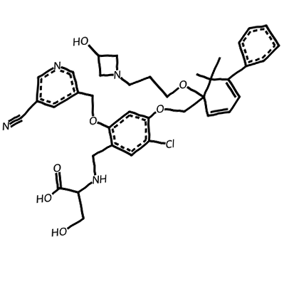 CC1(C)C(c2ccccc2)=CC=CC1(COc1cc(OCc2cncc(C#N)c2)c(CNC(CO)C(=O)O)cc1Cl)OCCCN1CC(O)C1